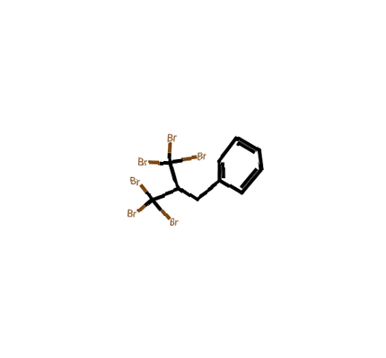 BrC(Br)(Br)[C](Cc1ccccc1)C(Br)(Br)Br